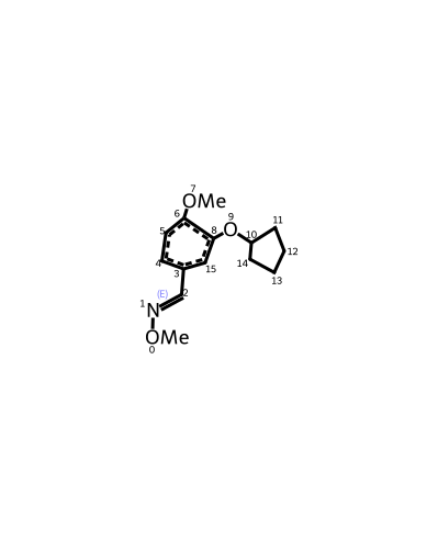 CO/N=C/c1ccc(OC)c(OC2CCCC2)c1